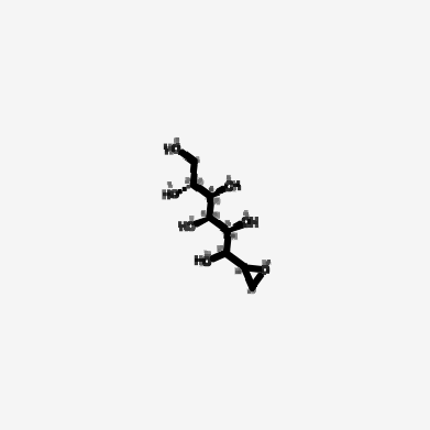 OC[C@@H](O)[C@@H](O)[C@H](O)[C@@H](O)C(O)C1CO1